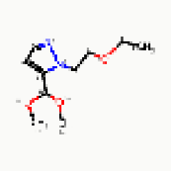 CCOCCn1nccc1C(OC)OC